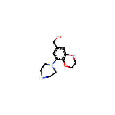 OCc1cc2c(c(N3CCNCC3)c1)OCCO2